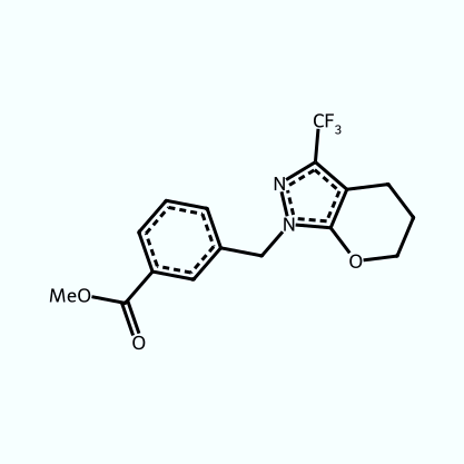 COC(=O)c1cccc(Cn2nc(C(F)(F)F)c3c2OCCC3)c1